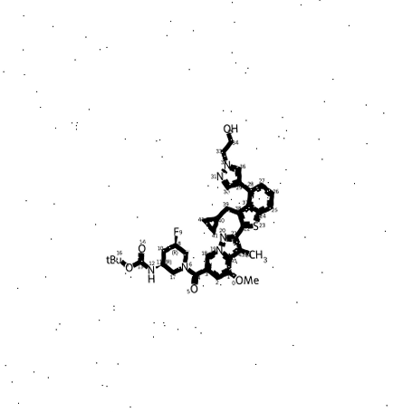 COc1cc(C(=O)N2C[C@H](F)C[C@@H](NC(=O)OC(C)(C)C)C2)cn2nc(-c3sc4cccc(-c5cnn(CCO)c5)c4c3CC3CC3)c(C)c12